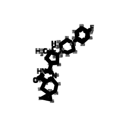 CC1(C)CC(c2nc3c(c(=O)[nH]2)CC2(CC3)CC2)=C[C@H]1N1CCN(c2ccc(F)cc2)CC1